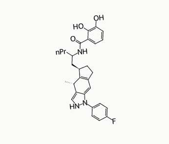 CCCC(C[C@H]1CCC2=C1[C@@H](C)C1=CNN(c3ccc(F)cc3)C1=C2)NC(=O)c1cccc(O)c1O